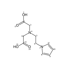 O=C(O)CN(CCn1cccc1)CC(=O)O